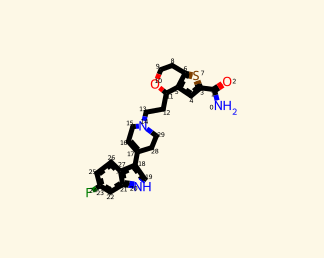 NC(=O)c1cc2c(s1)CCOC2CCN1CC=C(c2c[nH]c3cc(F)ccc23)CC1